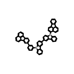 c1cc(-c2ccc3c(c2)-c2cccc4cccc-3c24)cc(-n2c3ccccc3c3cc(-c4ccc5c(c4)c4ccccc4n5-c4ccc5c6c(cccc46)-c4ccccc4-5)ccc32)c1